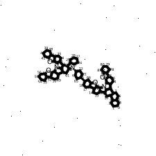 c1ccc2c(c1)ccc1c2cc2c3ccc4c5ccc(-c6ccc(-n7c8ccccc8c8c9c%10ccc%11c%12ccccc%12oc%11c%10n%10c%11c(ccc%12c%13ccccc%13oc%12%11)c(cc87)c9%10)cc6)cc5oc4c3n3c4c(ccc5c6ccccc6oc54)c1c23